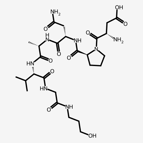 CC(C)[C@H](NC(=O)[C@H](C)NC(=O)[C@H](CC(N)=O)NC(=O)[C@@H]1CCCN1C(=O)[C@@H](N)CC(=O)O)C(=O)NCC(=O)NCCCO